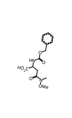 CON(C)C(=O)CC(NC(=O)OCc1ccccc1)C(=O)O